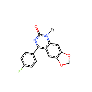 CCn1c(=O)nc(-c2ccc(F)cc2)c2cc3c(cc21)OCO3